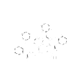 CSC1O[C@H](COC(=O)c2ccccc2)C(OC(=O)c2ccccc2)C(OC(=O)c2ccccc2)C1OC(=O)c1ccccc1